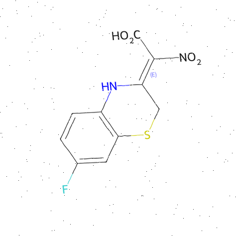 O=C(O)/C(=C1/CSc2cc(F)ccc2N1)[N+](=O)[O-]